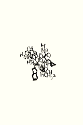 CC(C)(C)NC(=O)N[C@H](C(=O)N1C[C@H]2[C@@H]([C@H]1C(=O)NC(CC1CC1)C(=O)C(N)=O)C2(C)C)C1Cc2ccccc2C1